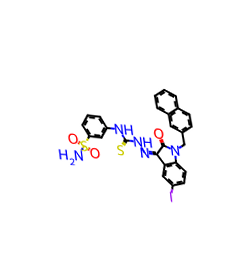 NS(=O)(=O)c1cccc(NC(=S)NN=C2C(=O)N(Cc3ccc4ccccc4c3)c3ccc(I)cc32)c1